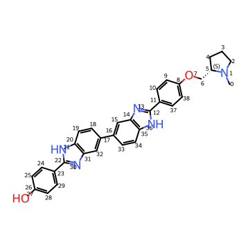 CN1CCC[C@H]1COc1ccc(-c2nc3cc(-c4ccc5[nH]c(-c6ccc(O)cc6)nc5c4)ccc3[nH]2)cc1